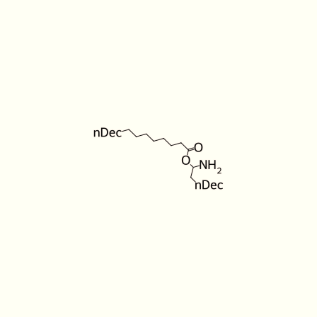 CCCCCCCCCCCCCCCCCC(=O)OC(N)CCCCCCCCCCC